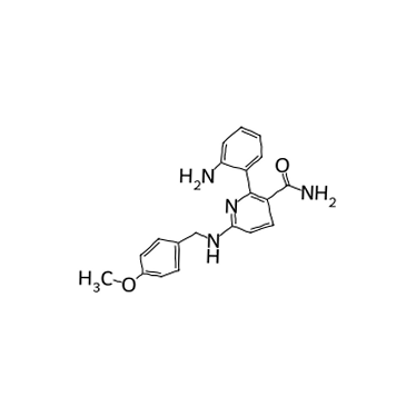 COc1ccc(CNc2ccc(C(N)=O)c(-c3ccccc3N)n2)cc1